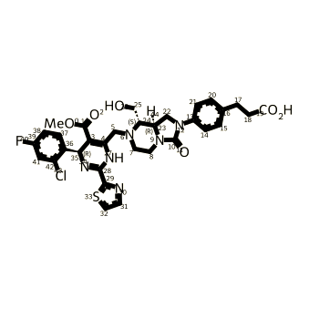 COC(=O)C1=C(CN2CCN3C(=O)N(c4ccc(CCC(=O)O)cc4)C[C@@H]3[C@H]2CO)NC(c2nccs2)=N[C@H]1c1ccc(F)cc1Cl